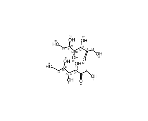 O=C(CO)[C@@H](O)[C@@H](O)[C@H](O)CO.O=C(CO)[C@@H](O)[C@@H](O)[C@H](O)CO